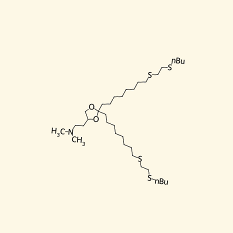 CCCCSCCSCCCCCCCCC1(CCCCCCCCSCCSCCCC)OCC(CCN(C)C)O1